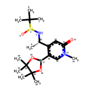 C[C@H](N[S+]([O-])C(C)(C)C)c1cc(=O)n(C)cc1B1OC(C)(C)C(C)(C)O1